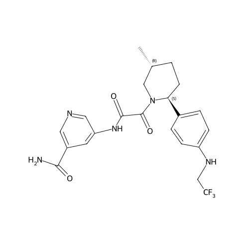 C[C@@H]1CC[C@@H](c2ccc(NCC(F)(F)F)cc2)N(C(=O)C(=O)Nc2cncc(C(N)=O)c2)C1